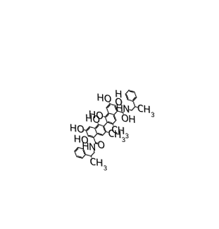 Cc1cc2c(C(=O)NCC(C)c3ccccc3)c(O)c(O)cc2c(O)c1-c1c(C)cc2c(C(O)NCC(C)c3ccccc3)c(O)c(O)cc2c1O